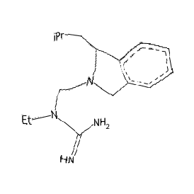 CCN(CN1Cc2ccccc2C1CC(C)C)C(=N)N